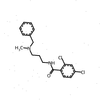 CN(CCCNC(=O)c1ccc(Cl)cc1Cl)Cc1ccccc1